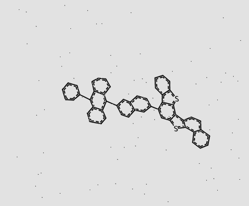 c1ccc(-c2c3ccccc3c(-c3ccc4cc(-c5cc6sc7c8ccccc8ccc7c6c6sc7ccccc7c56)ccc4c3)c3ccccc23)cc1